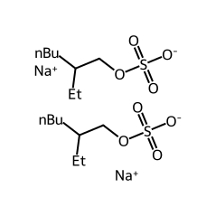 CCCCC(CC)COS(=O)(=O)[O-].CCCCC(CC)COS(=O)(=O)[O-].[Na+].[Na+]